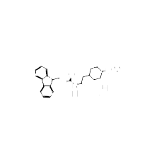 COC1CCC(C[C@H](NC(=O)OCC2c3ccccc3-c3ccccc32)C(=O)O)CC1